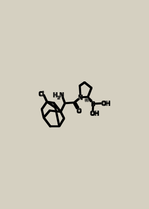 NC(C(=O)N1CCC[C@H]1B(O)O)C12CC3CC(CC(Cl)(C3)C1)C2